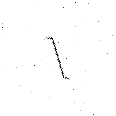 CCCCCCCCCCCCCOCCOCCOCCOCCOCCOCCOCCOCCOCCOCCOCCOCCCS(=O)(=O)O